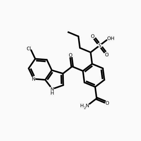 CCCC(c1ccc(C(N)=O)cc1C(=O)c1c[nH]c2ncc(Cl)cc12)S(=O)(=O)O